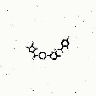 C[C@@H](Nc1nc(N2CCN(C(=O)[C@H]3CN(C)C(=O)N3)CC2)ncc1F)c1ccc(Cl)cc1Cl